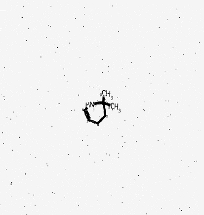 CC1(C)CCC=CN1